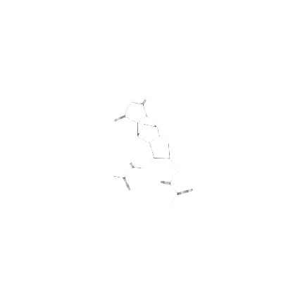 C=C(C)C(=O)OC1CC2C3CC(C4C(=O)OC(=O)C34)C2C1OC(=O)C(=C)C